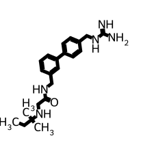 CCC(C)(C)NCC(=O)NCc1cccc(-c2ccc(CNC(=N)N)cc2)c1